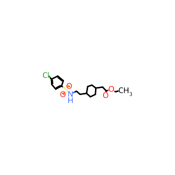 CCOC(=O)CC1CCC(CCNS(=O)(=O)c2ccc(Cl)cc2)CC1